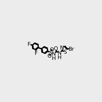 O=C(Nc1ncc(Br)s1)NS(=O)(=O)c1ccc(-c2ccc(F)cc2F)cc1